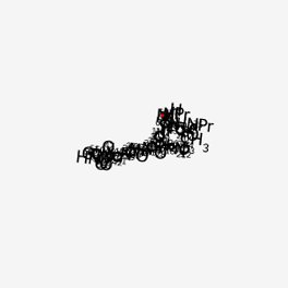 Cc1cc(F)c(Nc2nc(-c3ccc4c(c3)N(C3CC(N5CCCCC5)C3)C(=O)C43CCN(C(=O)CN4CCN(c5ccc6c(c5)C(=O)N([C@@H]5CCC(=O)NC5=O)C6=O)CC4)CC3)cc3ncn(C(C)C)c23)cc1C(=O)NC(C)C